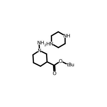 C1CNCCN1.CC(C)(C)OC(=O)C1CCCN(N)C1